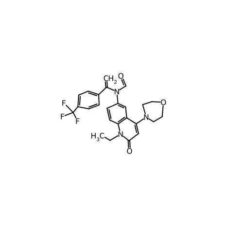 C=C(c1ccc(C(F)(F)F)cc1)N(C=O)c1ccc2c(c1)c(N1CCOCC1)cc(=O)n2CC